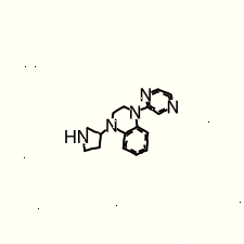 c1ccc2c(c1)N(c1cnccn1)CCN2C1CCNC1